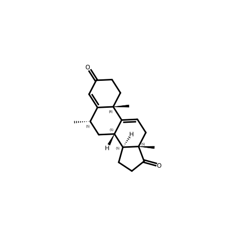 C[C@H]1C[C@@H]2C(=CC[C@]3(C)C(=O)CC[C@@H]23)[C@@]2(C)CCC(=O)C=C12